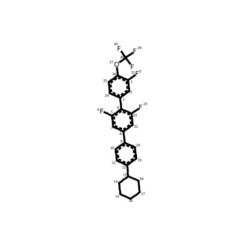 Fc1cc(-c2c(F)cc(-c3ccc(C4CCCCC4)cc3)cc2F)ccc1OC(F)(F)F